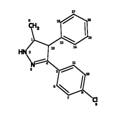 CC1NN=C(c2ccc(Cl)cc2)C1c1ccccc1